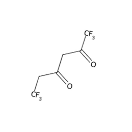 O=C(CC(=O)C(F)(F)F)CC(F)(F)F